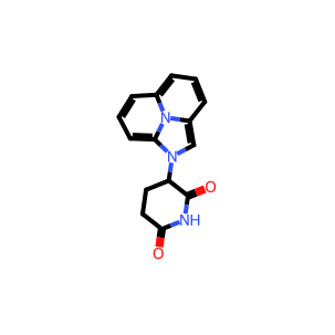 O=C1CCC(N2C=C3C=CC=C4C=CC=C2N43)C(=O)N1